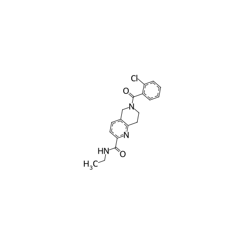 CCNC(=O)c1ccc2c(n1)CCN(C(=O)c1ccccc1Cl)C2